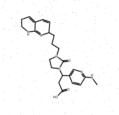 CNc1ccc(C(CC(=O)O)N2CCN(CCCC3C=CC4=CCCNC4=N3)C2=O)cn1